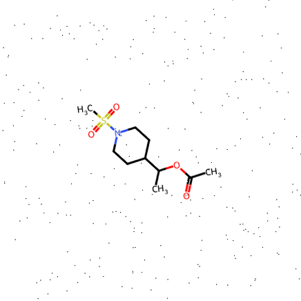 CC(=O)OC(C)C1CCN(S(C)(=O)=O)CC1